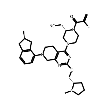 C=C(F)C(=O)N1CCN(c2nc(OC[C@@H]3CCCN3C)nc3c2CCN(c2cccc4c2C[C@H](C)C4)C3)C[C@@H]1CC#N